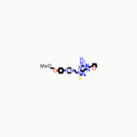 COCCOc1ccc(N2CCN(CCn3c(=S)n(C)c4c3nc(N)n3nc(-c5ccco5)nc43)CC2)cc1